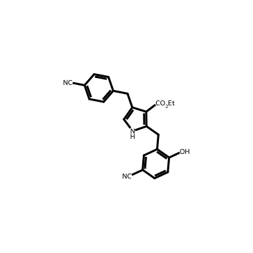 CCOC(=O)c1c(Cc2ccc(C#N)cc2)c[nH]c1Cc1cc(C#N)ccc1O